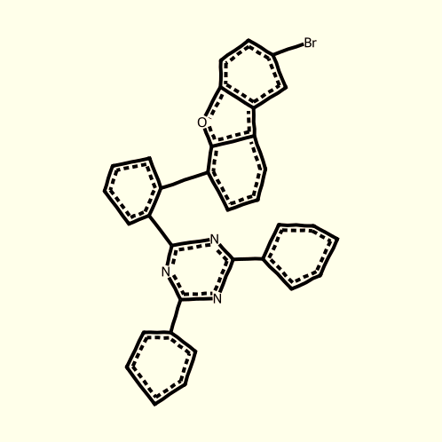 Brc1ccc2oc3c(-c4ccccc4-c4nc(-c5ccccc5)nc(-c5ccccc5)n4)cccc3c2c1